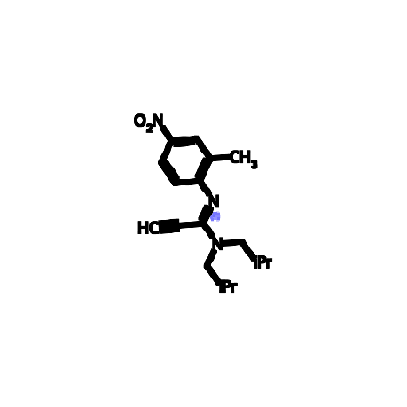 C#C/C(=N\c1ccc([N+](=O)[O-])cc1C)N(CC(C)C)CC(C)C